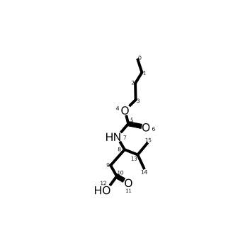 CCCCOC(=O)NC(CC(=O)O)C(C)C